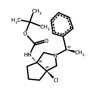 C[C@H](c1ccccc1)N1C[C@]2(Cl)CCC[C@@]2(NC(=O)OC(C)(C)C)C1